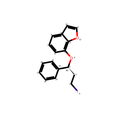 ICC[C@@H](Oc1cccc2ccoc12)c1ccccc1